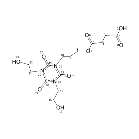 O=C(O)CCC(=O)OCCCn1c(=O)n(CCO)c(=O)n(CCO)c1=O